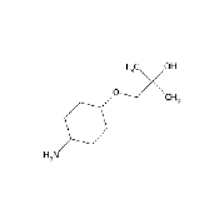 CC(O)(COC1CCC(N)CC1)C(F)(F)F